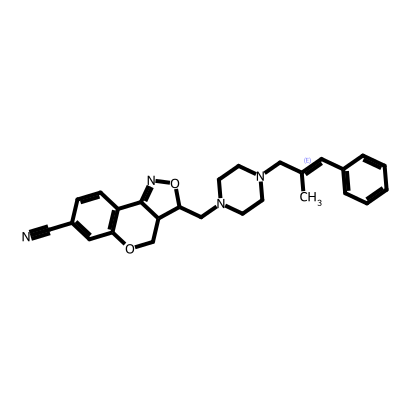 C/C(=C\c1ccccc1)CN1CCN(CC2ON=C3c4ccc(C#N)cc4OCC32)CC1